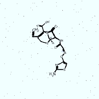 C=CC1=C(C(=O)O)N2C(=O)C(NC(=O)/C=N\Oc3csc(N)n3)[C@@H]2SC1